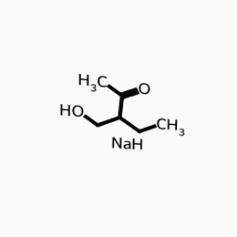 CCC(CO)C(C)=O.[NaH]